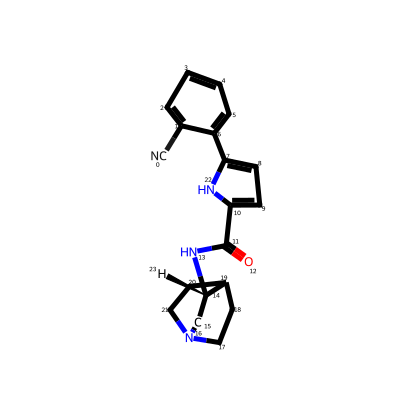 N#Cc1ccccc1-c1ccc(C(=O)N[C@H]2CN3CCC2CC3)[nH]1